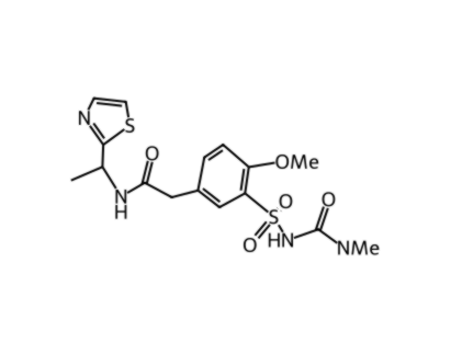 CNC(=O)NS(=O)(=O)c1cc(CC(=O)NC(C)c2nccs2)ccc1OC